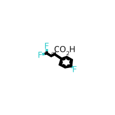 O=C(O)[C@@H](CC(F)F)c1ccc(F)cc1